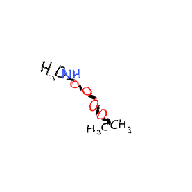 CNCCOCCOCCOCCOCCC(C)C